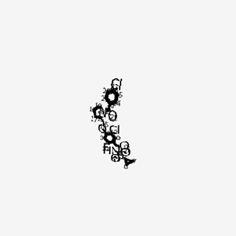 O=C(NS(=O)(=O)C1CC1)c1cc(Cl)c(OC[C@H]2CCCN2C(=O)c2ccc(Cl)cc2)cc1F